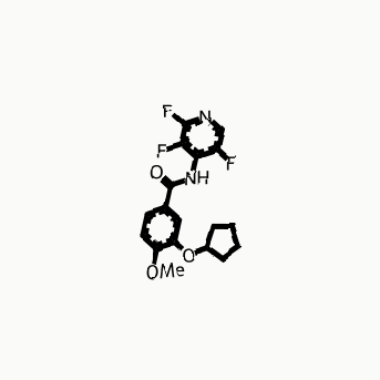 COc1ccc(C(=O)Nc2c(F)cnc(F)c2F)cc1OC1CCCC1